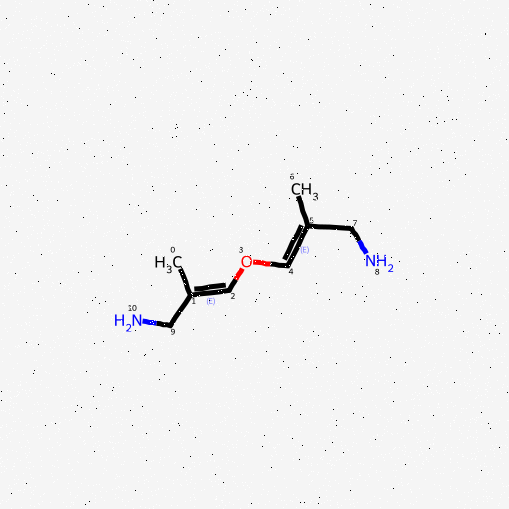 C/C(=C\O/C=C(\C)CN)CN